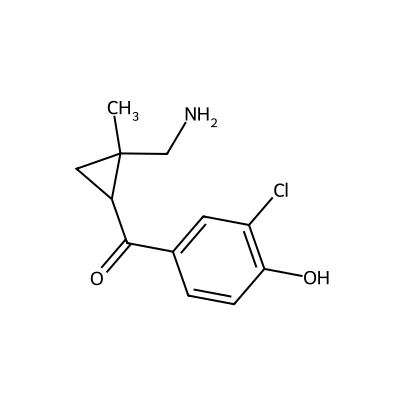 CC1(CN)CC1C(=O)c1ccc(O)c(Cl)c1